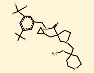 COC1(CN2CCC(CC3CC3)(C(=O)NCc3cc(C(F)(F)F)cc(C(F)(F)F)c3)C2)CCOCC1